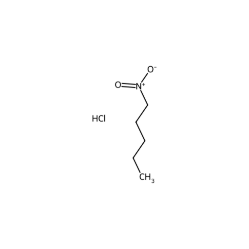 CCCCC[N+](=O)[O-].Cl